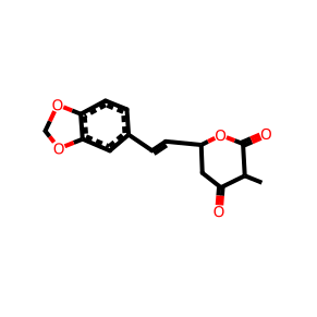 CC1C(=O)CC(/C=C/c2ccc3c(c2)OCO3)OC1=O